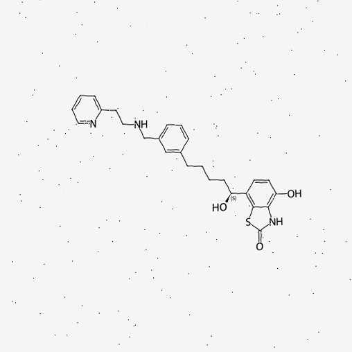 O=c1[nH]c2c(O)ccc([C@@H](O)CCCCc3cccc(CNCCc4ccccn4)c3)c2s1